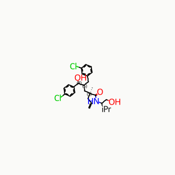 C=CC[C@@](C)(C[C@H](Cc1cccc(Cl)c1)[C@@H](O)c1ccc(Cl)cc1)C(=O)NC(CO)C(C)C